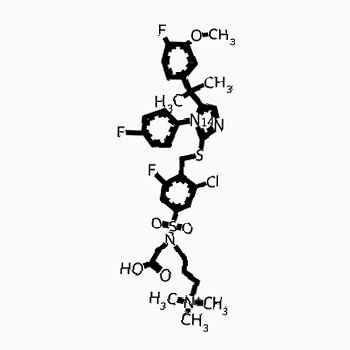 COc1cc(C(C)(C)c2c[14n]c(SCc3c(F)cc(S(=O)(=O)N(CCC[N+](C)(C)C)CC(=O)O)cc3Cl)n2-c2ccc(F)cc2)ccc1F